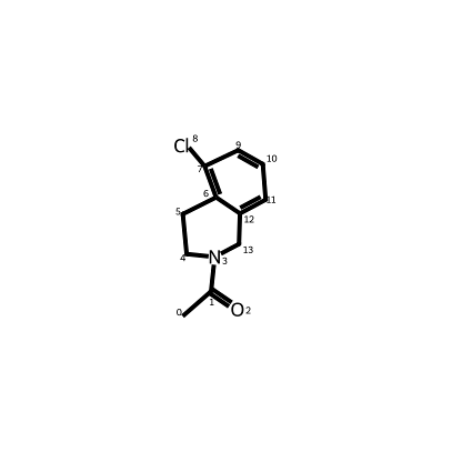 CC(=O)N1CCc2c(Cl)cccc2C1